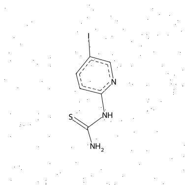 NC(=S)Nc1ccc(I)cn1